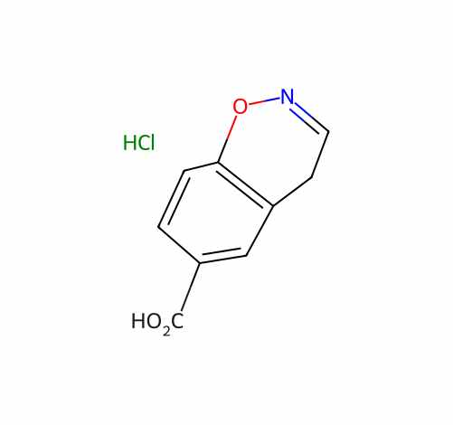 Cl.O=C(O)c1ccc2c(c1)CC=NO2